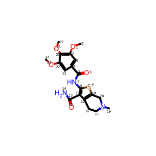 COc1cc(C(=O)Nc2sc3c(c2C(N)=O)CCN(C)C3)cc(OC)c1OC